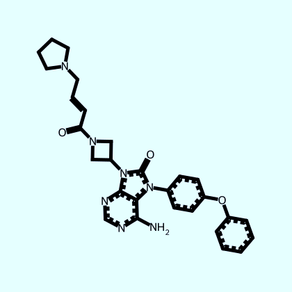 Nc1ncnc2c1n(-c1ccc(Oc3ccccc3)cc1)c(=O)n2C1CN(C(=O)/C=C/CN2CCCC2)C1